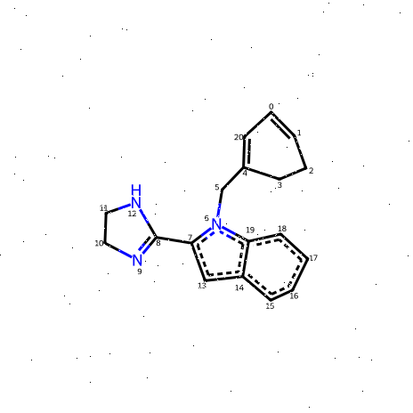 C1=CCCC(Cn2c(C3=NCCN3)cc3ccccc32)=C1